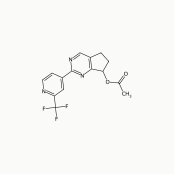 CC(=O)OC1CCc2cnc(-c3ccnc(C(F)(F)F)c3)nc21